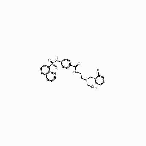 CCN(CCNC(=O)c1ccc(NS(=O)(=O)c2cccc3cccnc23)cc1)Cc1ccncc1F